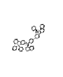 c1ccc(-n2c3cc(-c4ccc(N(c5ccc6c(c5)C(c5ccccc5)(c5ccccc5)c5ccccc5-6)c5cccc6ccccc56)cc4)ccc3c3ccc4ccccc4c32)cc1